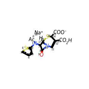 CC(=O)N(c1cccs1)C1C(=O)N2C=C(C(=O)O)C(C(=O)[O-])S[C@H]12.[Na+]